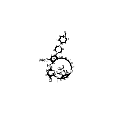 COc1cc(N2CCN(C3CCN(C)CC3)CC2)c2cc1Nc1ncc(Cl)c(n1)Nc1ccc(cc1N(C)S(C)(=O)=O)OCCCCC2